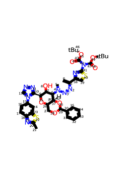 C=C(/N=N\N(C)C1C(O)[C@H](c2nncn2-c2ccc3nc(C)sc3c2)OC2COC(c3ccccc3)O[C@@H]21)c1csc(N(C(=O)OC(C)(C)C)C(=O)OC(C)(C)C)n1